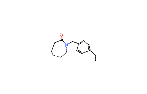 CCc1ccc(CN2CCCCCC2=O)cc1